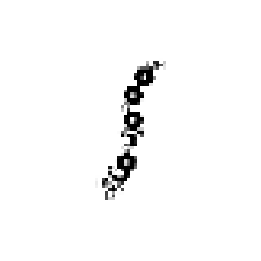 Cn1c(COc2ccc(CC3SC(=O)NC3=O)cc2)nc2ccc(Oc3ccc(-c4ccc(O)cc4)cc3)cc21